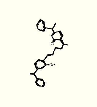 CC(CCCCc1ccc(C(C)c2ccccc2)cc1O)=C1C=CC(C(C)c2ccccc2)=CC1=O